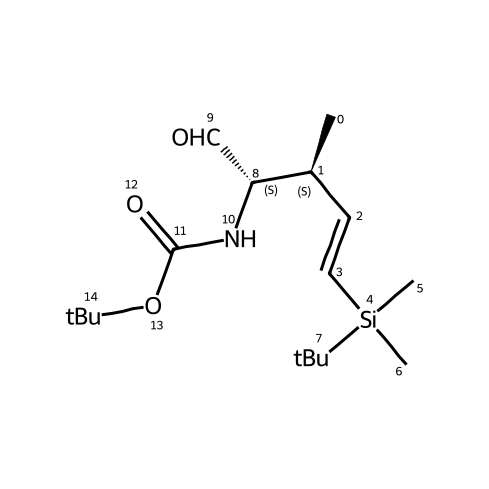 C[C@@H](C=C[Si](C)(C)C(C)(C)C)[C@@H](C=O)NC(=O)OC(C)(C)C